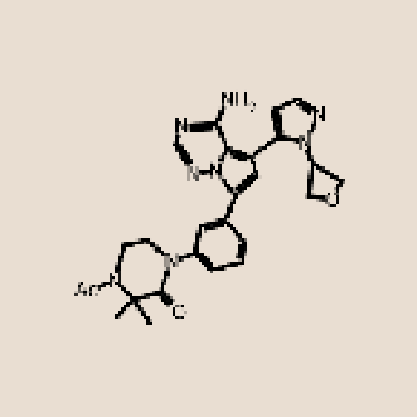 CC(=O)N1CCN(c2cccc(-c3cc(-c4ccnn4C4COC4)c4c(N)ncnn34)c2)C(=O)C1(C)C